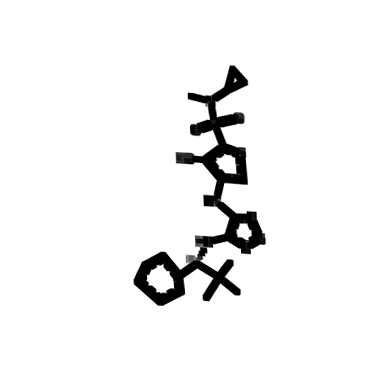 CN(C1CC1)S(=O)(=O)c1scc(Nc2nsnc2N[C@@H](c2ccccc2)C(C)(C)C)c1O